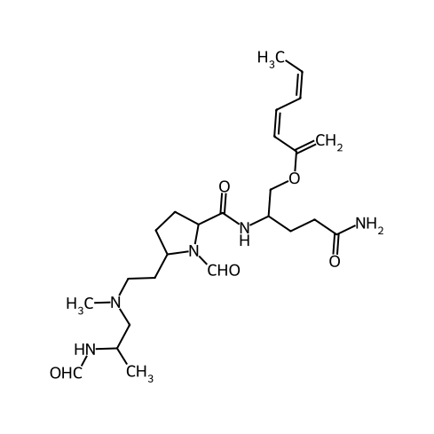 C=C(/C=C\C=C/C)OCC(CCC(N)=O)NC(=O)C1CCC(CCN(C)CC(C)NC=O)N1C=O